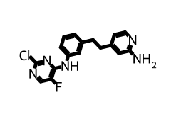 Nc1cc(CCc2cccc(Nc3nc(Cl)ncc3F)c2)ccn1